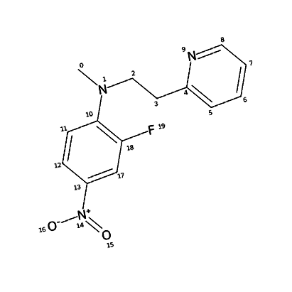 CN(CCc1ccccn1)c1ccc([N+](=O)[O-])cc1F